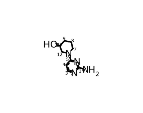 Nc1nccc(N2CCCC(O)C2)n1